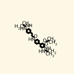 C=C(C)C(=N)Nc1ccc(CCC(=O)Nc2ccc(-c3ccc(NC(=N)C(=C)C)c(OC(=O)C(=C)C)c3)cc2)cc1